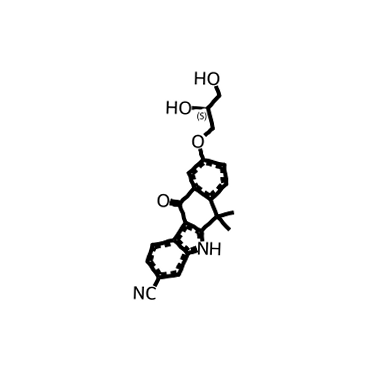 CC1(C)c2ccc(OC[C@@H](O)CO)cc2C(=O)c2c1[nH]c1cc(C#N)ccc21